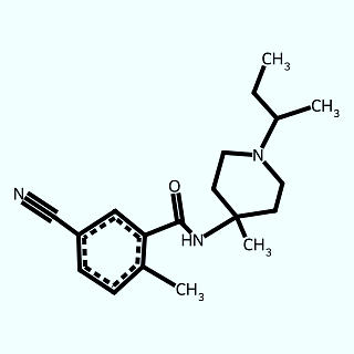 CCC(C)N1CCC(C)(NC(=O)c2cc(C#N)ccc2C)CC1